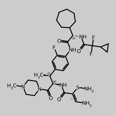 C[C@@H](c1ccc(NC(=O)[C@@H](NC(=O)C(F)(F)C2CC2)C2CCCCCC2)c(F)c1)[C@@H](NC(=O)/C(=C/N)SN)C(=O)N1CCN(C)CC1